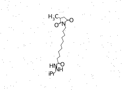 CC(C)NNC(=O)CCCCCCCCCCN1C(=O)CC(C)C1=O